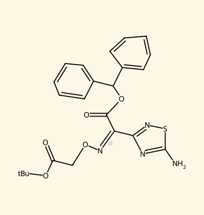 CC(C)(C)OC(=O)CO/N=C(\C(=O)OC(c1ccccc1)c1ccccc1)c1nsc(N)n1